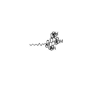 CCCCCCCCCCCC(=O)Oc1cc(S(=O)(=O)O)c2ccc3c(S(=O)(=O)O)cc(S(=O)(=O)O)c4ccc1c2c43